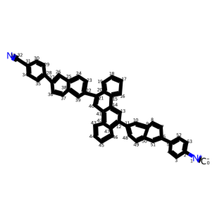 [C-]#[N+]c1ccc(-c2ccc3cc(-c4cc5c6ccccc6c(-c6ccc7cc(-c8ccc(C#N)cc8)ccc7c6)cc5c5ccccc45)ccc3c2)cc1